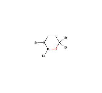 CCB1CCC(CC)(CC)OB1CC